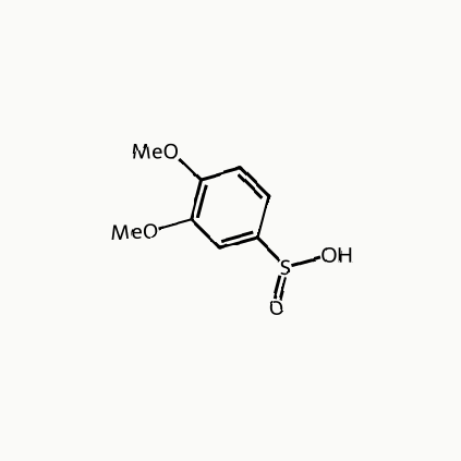 COc1ccc(S(=O)O)cc1OC